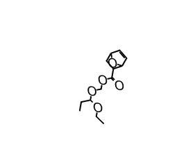 CCOC(CC)OCOC(=O)C1CC2C=CC1O2